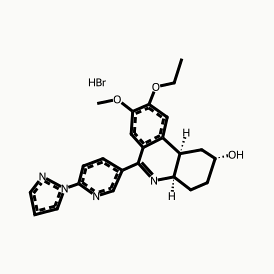 Br.CCOc1cc2c(cc1OC)C(c1ccc(-n3cccn3)nc1)=N[C@@H]1CC[C@@H](O)C[C@H]21